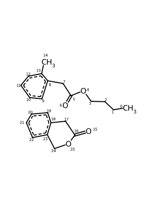 CCCCOC(=O)Cc1ccccc1C.O=C1Cc2ccccc2CO1